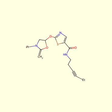 C=C1OC(Oc2ncc(C(=O)NCCC#CCC)s2)CN1C(C)C